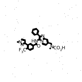 CN(Cc1ccn2c(NC(=O)c3ccc(C(F)(F)F)c(-c4ccn(C)n4)c3)c(-c3ccccc3)nc2c1)C(=O)O